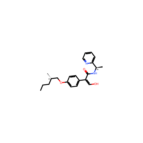 CCC[C@H](C)COc1ccc(C(=CO)C(=O)N[C@H](C)c2ccccn2)cc1